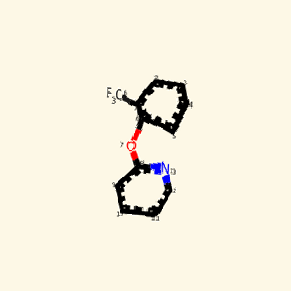 FC(F)(F)c1ccccc1Oc1ccccn1